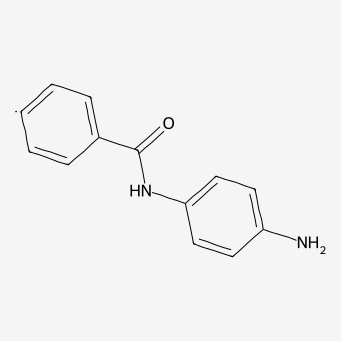 Nc1ccc(NC(=O)c2cc[c]cc2)cc1